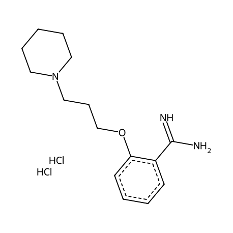 Cl.Cl.N=C(N)c1ccccc1OCCCN1CCCCC1